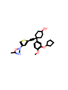 COc1ccc(C2(C#Cc3cc(N4CNC(C)O4)cs3)CCC(O)CC2)cc1OC1CCCC1